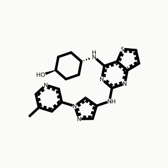 Cc1cncc(-n2cc(Nc3nc(N[C@H]4CC[C@H](O)CC4)c4sccc4n3)cn2)c1